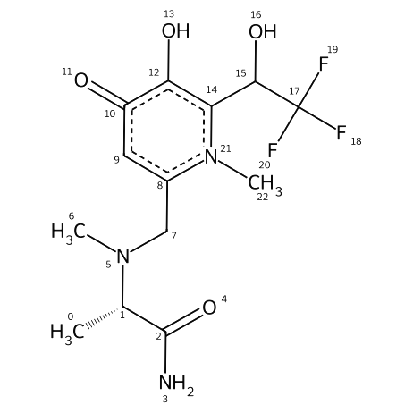 C[C@@H](C(N)=O)N(C)Cc1cc(=O)c(O)c(C(O)C(F)(F)F)n1C